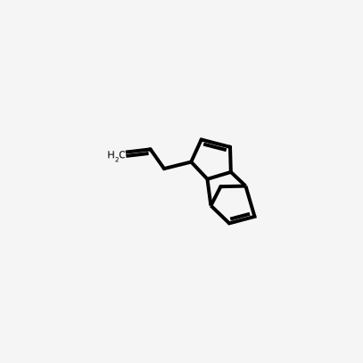 C=CCC1C=CC2C3C=CC(C3)C12